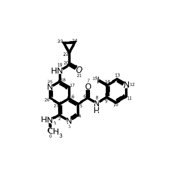 CNc1ncc(C(=O)Nc2ccncc2I)c2cc(NC(=O)C3CC3)ncc12